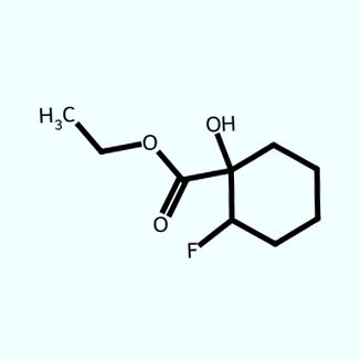 CCOC(=O)C1(O)CCCCC1F